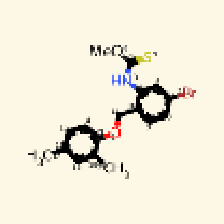 COC(=S)Nc1cc(Br)ccc1COc1ccc(C)cc1C